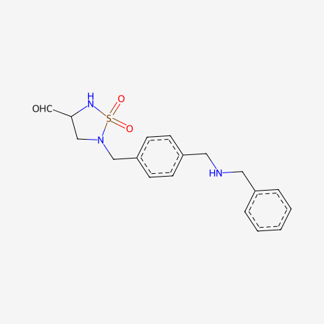 O=CC1CN(Cc2ccc(CNCc3ccccc3)cc2)S(=O)(=O)N1